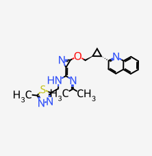 CC(C)=N/C(NCc1nnc(C)s1)=C1N=C/1OC[C@H]1C[C@@H]1c1ccc2ccccc2n1